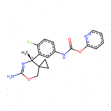 C[C@]1(c2cc(NC(=O)Oc3ccccn3)ccc2F)N=C(N)OCC12CC2